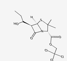 CCC(O)[C@@H]1C(=O)N2[C@@H]1SC(C)(C)[C@@H]2C(=O)OCC(Cl)(Cl)Cl